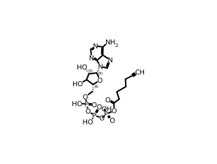 C#CCCCCC(=O)OP(=O)(O)OP(=O)(O)OP(=O)(O)OC[C@H]1O[C@@H](n2cnc3c(N)ncnc32)[C@@H](O)C1O